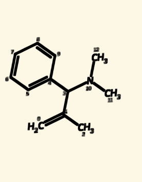 C=C(C)C(c1ccccc1)N(C)C